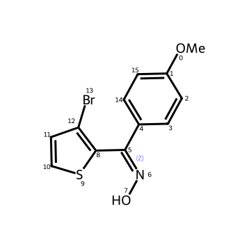 COc1ccc(/C(=N/O)c2sccc2Br)cc1